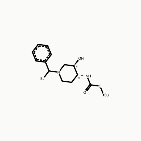 CCC(c1ccccc1)N1CC[C@@H](NC(=O)OC(C)(C)C)[C@H](O)C1